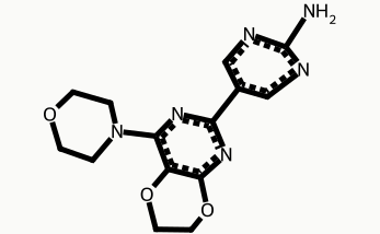 Nc1ncc(-c2nc3c(c(N4CCOCC4)n2)OCCO3)cn1